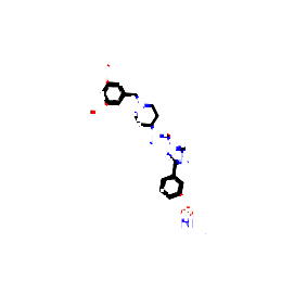 COc1cc(CN2CCC(N(C)C(=O)n3cnc(-c4cccc(OS(N)(=O)=O)c4)c3)CC2)cc(OC)c1